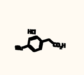 CC(C)(C)c1ccc(CC(=O)O)cc1.Cl